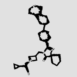 O=C(C1CC1)N1CC(CN2C(=O)C3(CCCC3)N=C2c2ccc(-c3ccc4cnccc4c3)cc2)C1